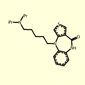 CC(C)N(CCCCCN1c2ccccc2NC(=O)c2cscc21)C(C)C